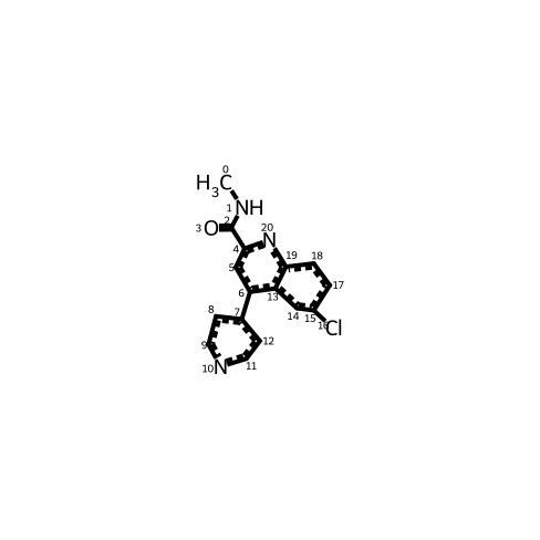 CNC(=O)c1cc(-c2ccncc2)c2cc(Cl)ccc2n1